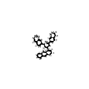 c1ccc2cc3c(-c4cc(-c5ccc6ccnnc6c5)nc(-c5ccc6ccnnc6c5)c4)cccc3cc2c1